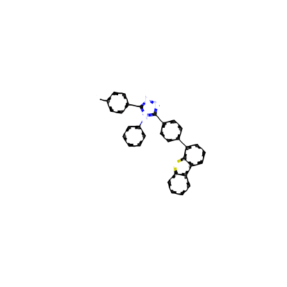 Cc1ccc(-c2nnc(-c3ccc(-c4cccc5c4sc4ccccc45)cc3)n2-c2ccccc2)cc1